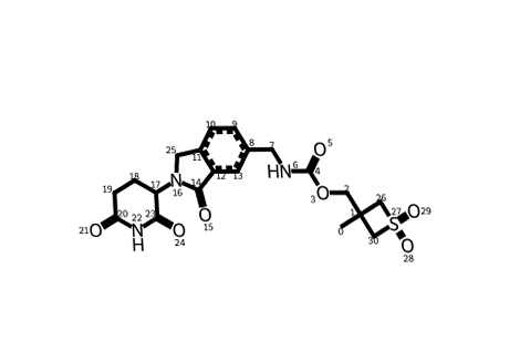 CC1(COC(=O)NCc2ccc3c(c2)C(=O)N(C2CCC(=O)NC2=O)C3)CS(=O)(=O)C1